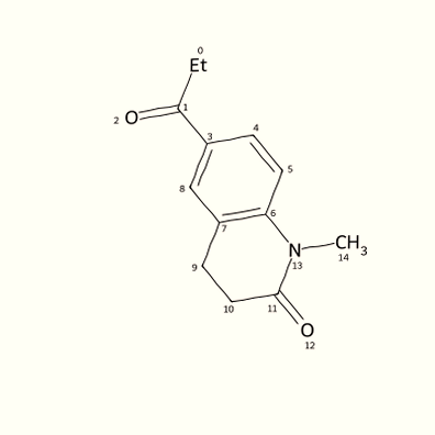 CCC(=O)c1ccc2c(c1)CCC(=O)N2C